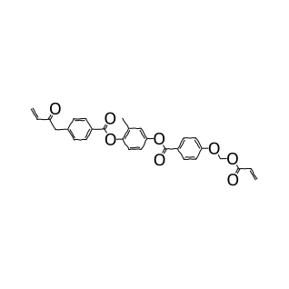 C=CC(=O)Cc1ccc(C(=O)Oc2ccc(OC(=O)c3ccc(OCOC(=O)C=C)cc3)cc2C)cc1